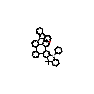 CC1(C)c2ccccc2N(c2ccccc2)c2cc3c(cc21)-c1ccccc1-c1cccc(-n2c4ccccc4c4ccccc42)c1-c1ccccc1-3